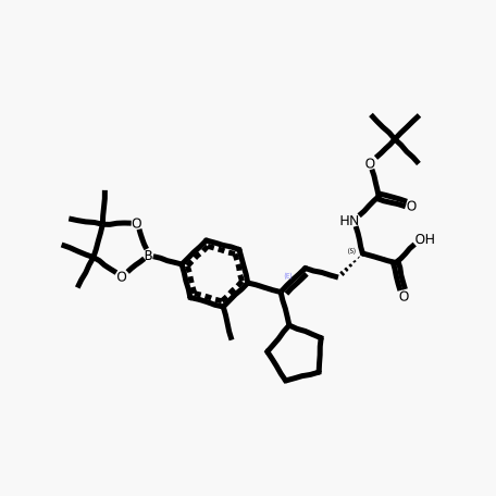 Cc1cc(B2OC(C)(C)C(C)(C)O2)ccc1/C(=C/C[C@H](NC(=O)OC(C)(C)C)C(=O)O)C1CCCC1